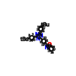 CC(C)(C)c1ccc(-c2nc(-c3ccc(-c4nc5ccccc5o4)cc3)nc(-c3ccc(C(C)(C)C)cc3)n2)cc1